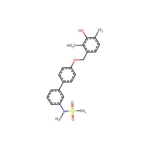 CN(c1cccc(-c2ccc(OCc3ccc(C(F)(F)F)c(O)c3C(=O)O)cc2)c1)S(C)(=O)=O